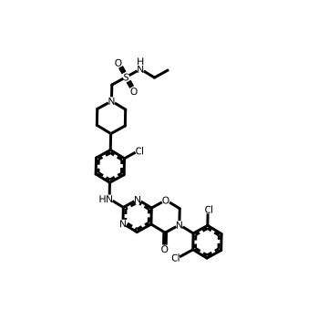 CCNS(=O)(=O)CN1CCC(c2ccc(Nc3ncc4c(n3)OCN(c3c(Cl)cccc3Cl)C4=O)cc2Cl)CC1